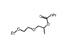 CCCC(=O)OC(C)COCCOCC